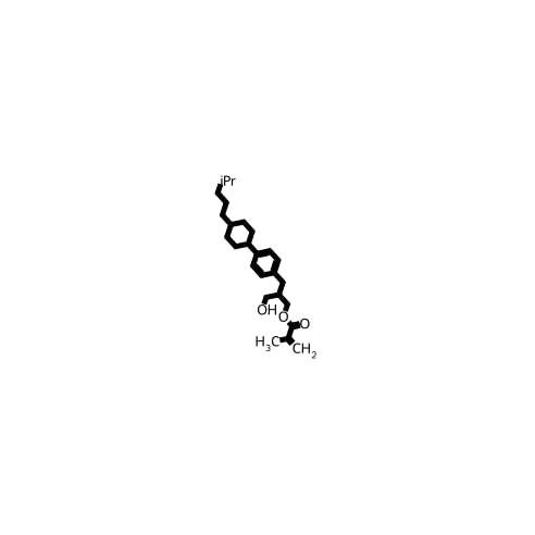 C=C(C)C(=O)OCC(CO)Cc1ccc(C2CCC(CCCC(C)C)CC2)cc1